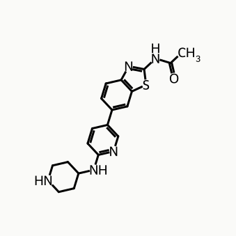 CC(=O)Nc1nc2ccc(-c3ccc(NC4CCNCC4)nc3)cc2s1